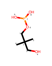 CC(C)(CO)COP(O)O